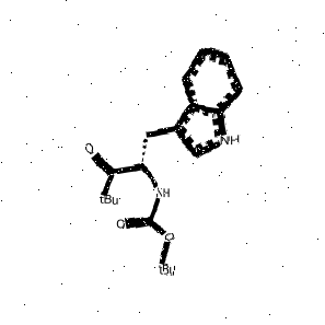 CC(C)(C)OC(=O)N[C@@H](Cc1c[nH]c2ccccc12)C(=O)C(C)(C)C